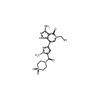 CC(C)Cn1cc(-c2cc(C(=O)N3CCS(=O)(=O)CC3)n(C)n2)c2[nH]nc(N)c2c1=O